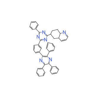 C1=CC2CC(c3nc(-c4ccccc4)nc(-c4cccc(-c5nc(-c6ccccc6)c(-c6ccccc6)nc5-c5ccccc5)c4)n3)CCC2N=C1